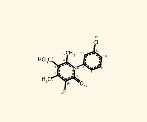 Cc1c(C(=O)O)c(C)n(-c2cccc(Cl)c2)c(=O)c1F